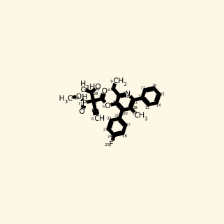 C#CC(C(=O)Oc1c(CC)nc(-c2ccccc2)c(C)c1-c1ccc(F)cc1)(C(C)O)[PH](=O)OC